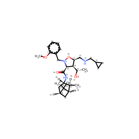 COc1ccccc1CN1O[C@@H](CNCC2CC2)[C@@H]([C@H](C)O)[C@H]1C(=O)N[C@H]1C[C@H]2C[C@@H]([C@@H]1C)C2(C)C